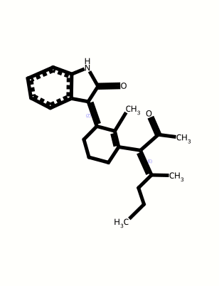 CCC/C(C)=C(/C(C)=O)C1=C(C)/C(=C2\C(=O)Nc3ccccc32)CCC1